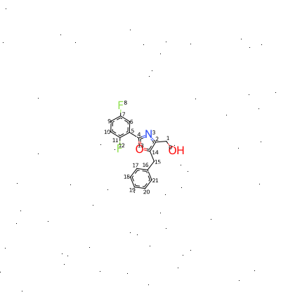 OCc1nc(-c2cc(F)ccc2F)oc1Cc1ccccc1